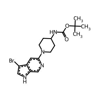 CC(C)(C)OC(=O)NC1CCN(c2cc3c(Br)c[nH]c3cn2)CC1